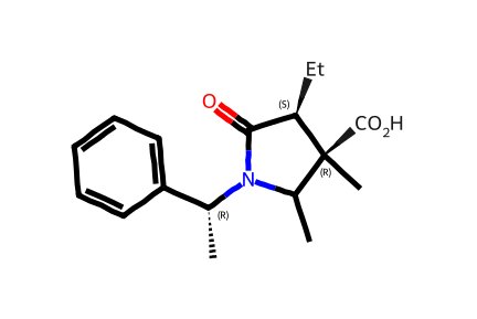 CC[C@@H]1C(=O)N([C@H](C)c2ccccc2)C(C)[C@]1(C)C(=O)O